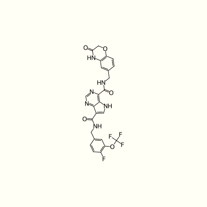 O=C1COc2ccc(CNC(=O)c3ncnc4c(C(=O)NCc5ccc(F)c(OC(F)(F)F)c5)c[nH]c34)cc2N1